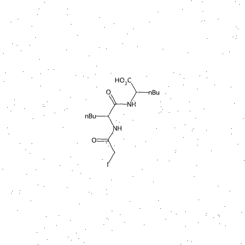 CCCCC(NC(=O)C(CCCC)NC(=O)CI)C(=O)O